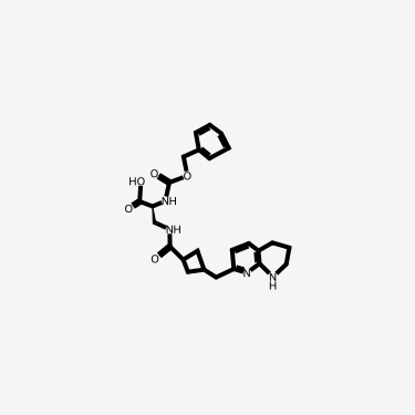 O=C(N[C@@H](CNC(=O)C1CC(Cc2ccc3c(n2)NCCC3)C1)C(=O)O)OCc1ccccc1